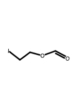 O=COCCI